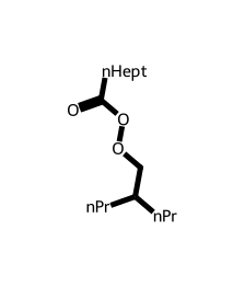 CCCCCCCC(=O)OOCC(CCC)CCC